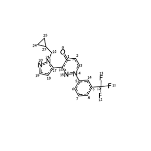 O=c1ccn(-c2cccc(C(F)(F)F)c2)nc1-c1ccnn1CC1CC1